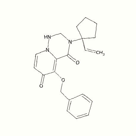 C=CC1(N2CNn3ccc(=O)c(OCc4ccccc4)c3C2=O)CCCC1